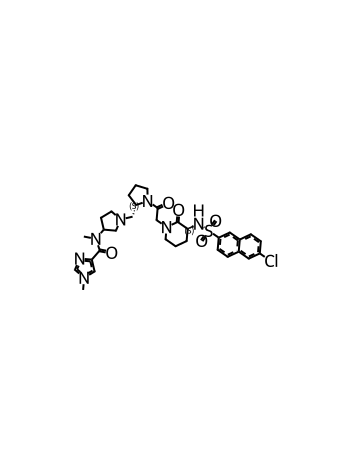 CN(C(=O)c1cn(C)cn1)C1CCN(C[C@@H]2CCCN2C(=O)CN2CCC[C@H](NS(=O)(=O)c3ccc4cc(Cl)ccc4c3)C2=O)C1